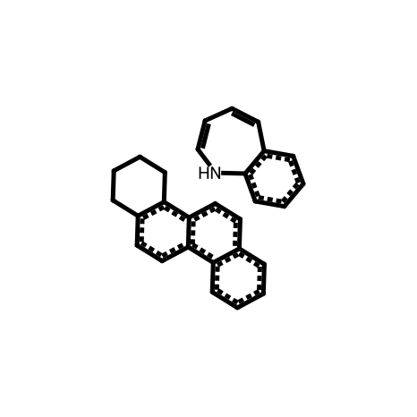 C1=CNc2ccccc2C=C1.c1ccc2c(c1)ccc1c3c(ccc12)CCCC3